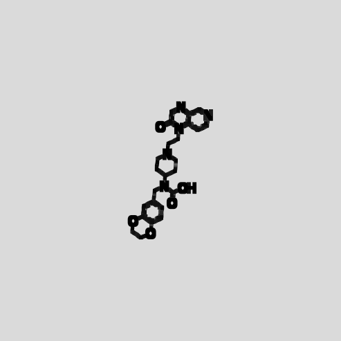 O=C(O)N(Cc1ccc2c(c1)OCCO2)C1CCN(CCn2c(=O)cnc3cnccc32)CC1